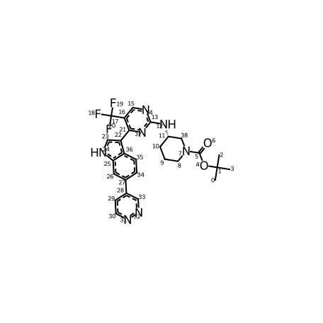 CC(C)(C)OC(=O)N1CCC[C@H](Nc2ncc(C(F)(F)F)c(-c3c[nH]c4cc(-c5ccnnc5)ccc34)n2)C1